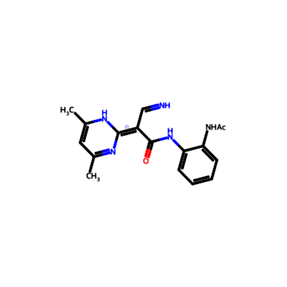 CC(=O)Nc1ccccc1NC(=O)/C(C=N)=C1\N=C(C)C=C(C)N1